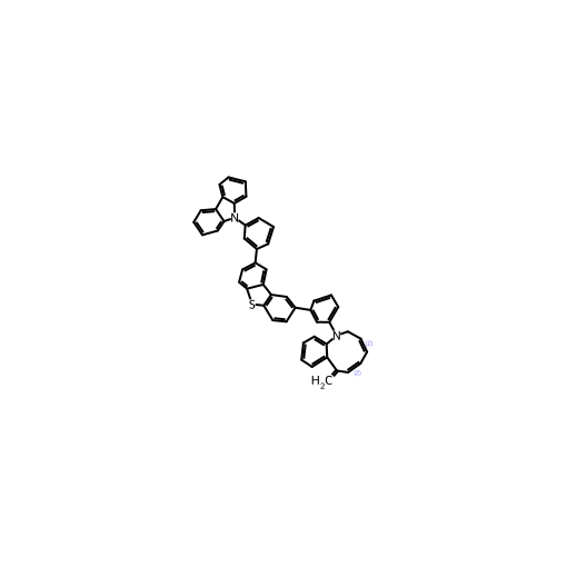 C=C1/C=C\C=C/CN(c2cccc(-c3ccc4sc5ccc(-c6cccc(-n7c8ccccc8c8ccccc87)c6)cc5c4c3)c2)c2ccccc21